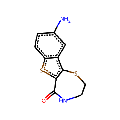 Nc1ccc2sc3c(c2c1)SCCNC3=O